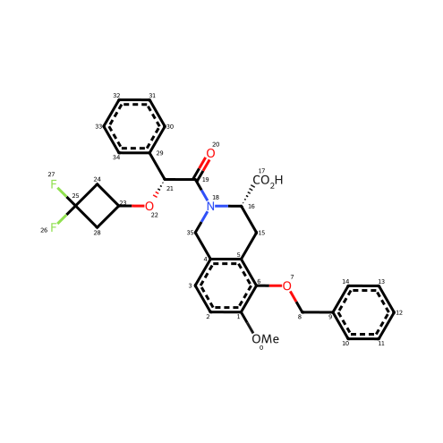 COc1ccc2c(c1OCc1ccccc1)C[C@@H](C(=O)O)N(C(=O)[C@H](OC1CC(F)(F)C1)c1ccccc1)C2